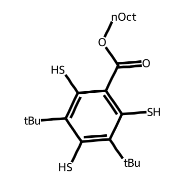 CCCCCCCCOC(=O)c1c(S)c(C(C)(C)C)c(S)c(C(C)(C)C)c1S